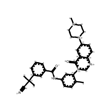 Cc1ccc(NC(=O)c2cccc(C(C)(C)C#N)c2)cc1-n1cnc2ccc(N3CCN(C)CC3)cc2c1=O